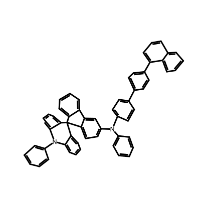 c1ccc(N(c2ccc(-c3ccc(-c4cccc5ccccc45)cc3)cc2)c2ccc3c(c2)-c2ccccc2C32c3ccccc3N(c3ccccc3)c3ccccc32)cc1